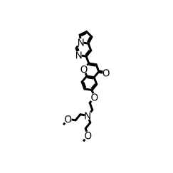 COCCN(CCOC)CCOc1ccc2oc(-c3cc4cccn4cn3)cc(=O)c2c1